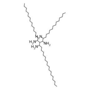 CCCCCCCCCCCCCCCCCC(N)C(C(N)CCCCCCCCCCCCCCC)C(N)C(N)CCCCCCCCCCCCC